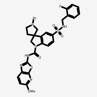 COc1ccc2nc(NC(=O)N3CC4(CCN(C(C)=O)C4)c4cc(S(=O)(=O)NCc5ccccc5F)ccc43)sc2n1